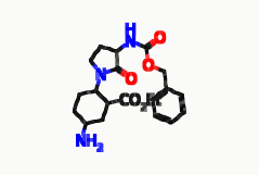 CCOC(=O)C1CC(N)CCC1N1CCC(NC(=O)OCc2ccccc2)C1=O